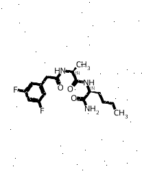 CCCC[C@H](NC(=O)[C@H](C)NC(=O)Cc1cc(F)cc(F)c1)C(N)=O